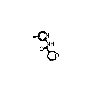 Cc1ccnc(NC(=O)C2CCCOC2)c1